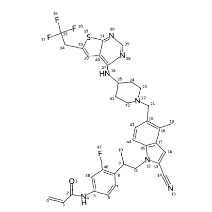 C=CC(=O)Nc1ccc(C(C)Cn2c(C#N)cc3c(C)c(CN4CCC(Nc5ncnc6sc(CC(F)(F)F)cc56)CC4)ccc32)c(F)c1